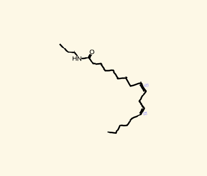 CC[CH]NC(=O)CCCCCCC/C=C\C/C=C\CCCCC